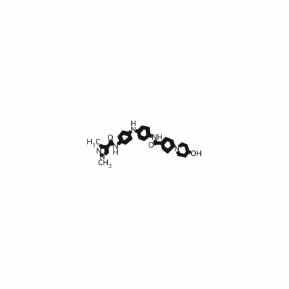 Cc1nn(C)cc1C(=O)Nc1ccc(Nc2ccc(NC(=O)c3ccc(N4CCC(O)CC4)cc3)cc2)cc1